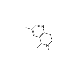 Cc1cnc2c(c1)C(C)N(I)CC2